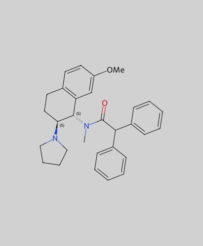 COc1ccc2c(c1)[C@H](N(C)C(=O)C(c1ccccc1)c1ccccc1)[C@@H](N1CCCC1)CC2